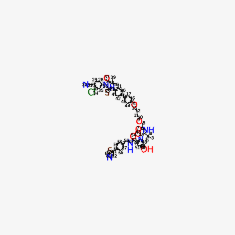 CC(C)(C)C(NC(=O)COCCCCOc1ccc(-c2ccc(N3C(=S)N(c4ccc(C#N)c(Cl)c4)C(=O)C3(C)C)cc2)cc1)C(=O)N1C[C@H](O)C[C@H]1C(=O)NCc1ccc(-c2cncs2)cc1